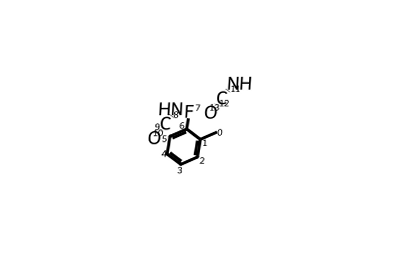 Cc1ccccc1F.N=C=O.N=C=O